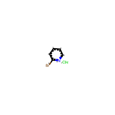 Brc1ccccn1.Cl